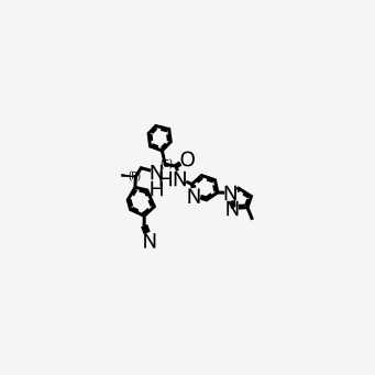 Cc1ccn(-c2ccc(NC(=O)[C@@H](NC[C@H](C)c3ccc(C#N)cc3)c3ccccc3)nc2)n1